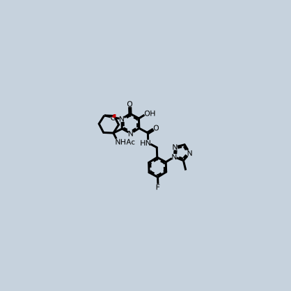 CC(=O)NC12CCC(CC1)Cn1c2nc(C(=O)NCc2ccc(F)cc2-n2ncnc2C)c(O)c1=O